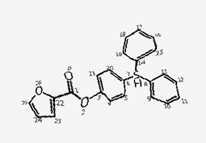 O=C(Oc1ccc([SH](c2ccccc2)c2ccccc2)cc1)c1ccco1